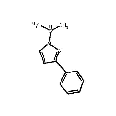 C[SH](C)n1ccc(-c2ccccc2)n1